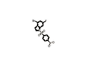 O=[N+]([O-])c1ccc(S(=O)(=O)n2ccc3c(Br)cc(F)cc32)cc1